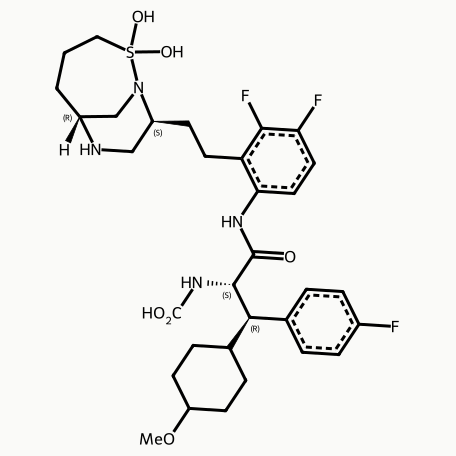 COC1CCC([C@H](c2ccc(F)cc2)[C@H](NC(=O)O)C(=O)Nc2ccc(F)c(F)c2CC[C@H]2CN[C@@H]3CCCS(O)(O)N2C3)CC1